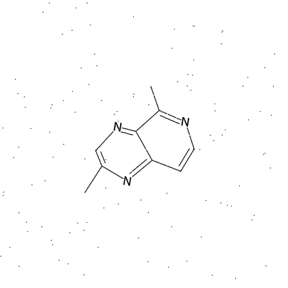 Cc1cnc2c(C)nccc2n1